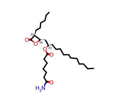 CCCCCCCCCCC[C@@H](C[C@@H]1OC(=O)[C@H]1CCCCCC)OC(=O)CCCCCC(N)=O